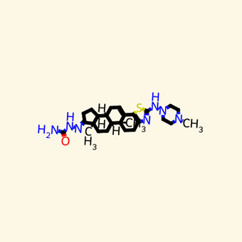 CN1CCN(Nc2nc3c(s2)C2=CC[C@@H]4[C@H](CC[C@]5(C)/C(=N/NC(N)=O)CC[C@@H]45)[C@@]2(C)CC3)CC1